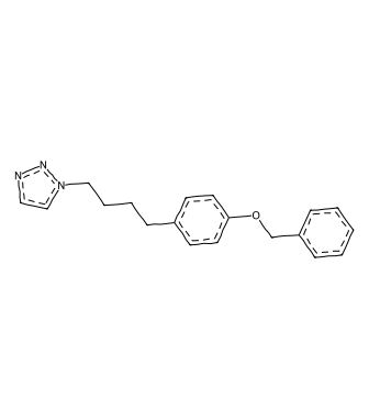 c1ccc(COc2ccc(CCCCn3ccnn3)cc2)cc1